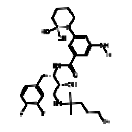 CCNc1cc(C(=O)N[C@@H](Cc2ccc(F)c(F)c2)[C@H](O)CNC(C)(C)CCCC(C)C)cc(N2CCCCS2(O)O)c1